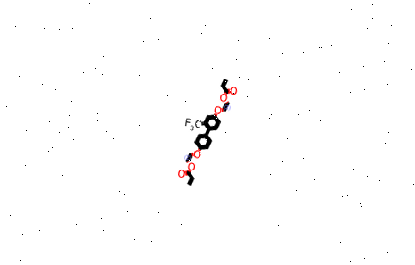 C=CC(=O)O/C=C\Oc1ccc(-c2ccc(O/C=C\OC(=O)C=C)cc2C(F)(F)F)cc1